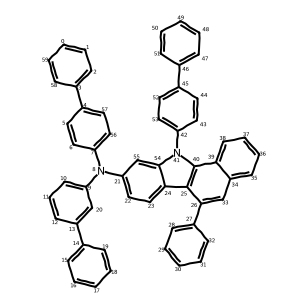 c1ccc(-c2ccc(N(c3cccc(-c4ccccc4)c3)c3ccc4c5c(-c6ccccc6)cc6ccccc6c5n(-c5ccc(-c6ccccc6)cc5)c4c3)cc2)cc1